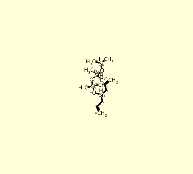 C=CC[SiH](CC=C)O[Si](C)(C)O[Si](C)(C)O[SiH](C)C